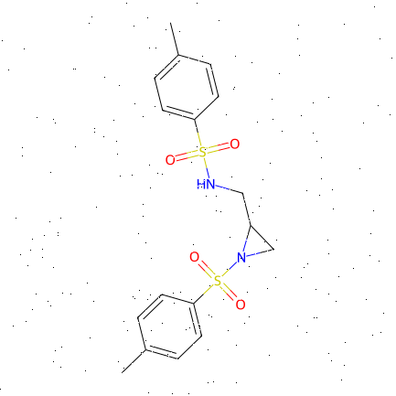 Cc1ccc(S(=O)(=O)NCC2CN2S(=O)(=O)c2ccc(C)cc2)cc1